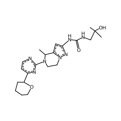 CC1c2cc(NC(=O)NCC(C)(C)O)nn2CCN1c1nccc(C2CCCCO2)n1